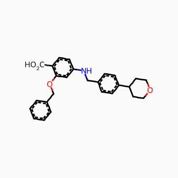 O=C(O)c1ccc(NCc2ccc(C3CCOCC3)cc2)cc1OCc1ccccc1